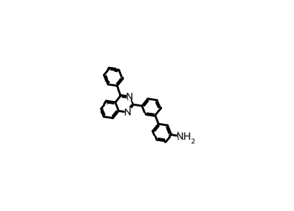 Nc1cccc(-c2cccc(-c3nc(-c4ccccc4)c4ccccc4n3)c2)c1